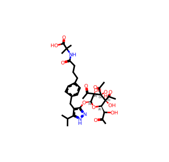 CC(=O)C(O)[C@H]1O[C@@H](Oc2n[nH]c(C(C)C)c2Cc2ccc(CCCC(=O)NC(C)(C)C(=O)O)cc2)[C@@](O)(C(C)=O)[C@](O)(C(C)=O)[C@]1(O)C(C)=O